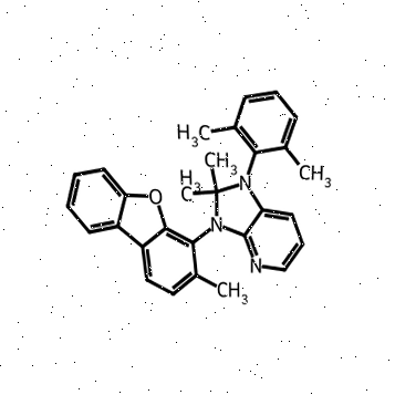 Cc1cccc(C)c1N1c2cccnc2N(c2c(C)ccc3c2oc2ccccc23)C1(C)C